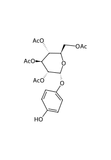 CC(=O)OC[C@H]1O[C@H](Oc2ccc(O)cc2)[C@H](OC(C)=O)[C@@H](OC(C)=O)[C@@H]1OC(C)=O